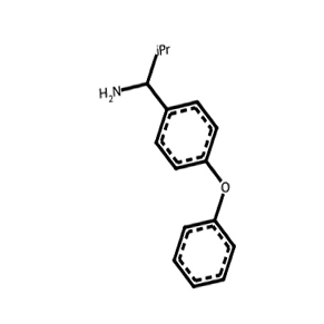 CC(C)C(N)c1ccc(Oc2ccccc2)cc1